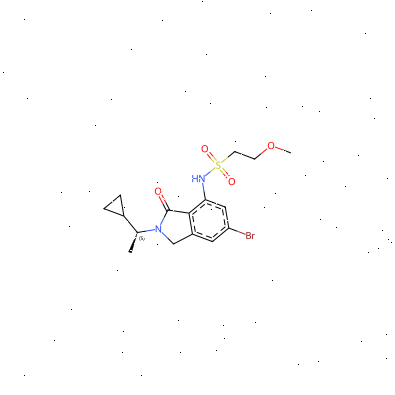 COCCS(=O)(=O)Nc1cc(Br)cc2c1C(=O)N([C@@H](C)C1CC1)C2